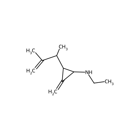 C=C(C)C(C)C1C(=C)C1NCC